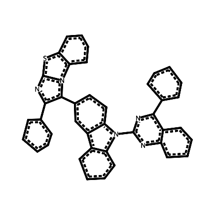 c1ccc(-c2nc3sc4ccccc4n3c2-c2ccc3c(c2)c2ccccc2n3-c2nc(-c3ccccc3)c3ccccc3n2)cc1